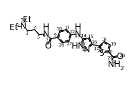 CCN(CC)CCCNC(=O)c1ccc(Nc2cc(-c3ccc(C(N)=O)s3)n[nH]2)cc1